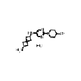 CC(C)C1CCN(c2ncc(NC3CC4(CC(N)C4)C3)cn2)CC1.Cl